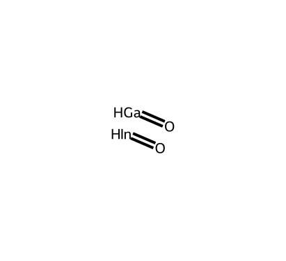 [O]=[GaH].[O]=[InH]